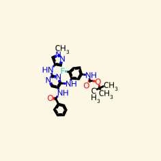 Cn1cc(Nc2ncc(NC(=O)c3ccccc3)c(Nc3cc(NC(=O)OC(C)(C)C)ccc3F)n2)cn1